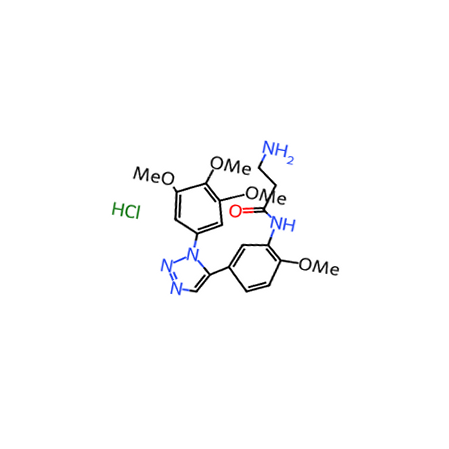 COc1ccc(-c2cnnn2-c2cc(OC)c(OC)c(OC)c2)cc1NC(=O)CCN.Cl